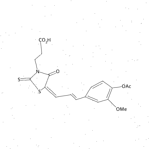 COc1cc(C=CC=C2SC(=S)N(CCC(=O)O)C2=O)ccc1OC(C)=O